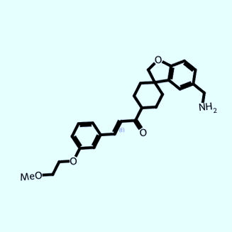 COCCOc1cccc(/C=C/C(=O)C2CCC3(CC2)COc2ccc(CN)cc23)c1